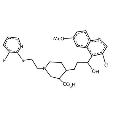 COc1ccc2ncc(Cl)c(C(O)CCC3CCN(CCSc4ncccc4F)CC3C(=O)O)c2c1